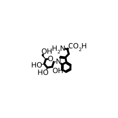 NC(Cc1cn([C@H]2O[C@H](CO)[C@@H](O)[C@H](O)[C@@H]2O)c2ccccc12)C(=O)O